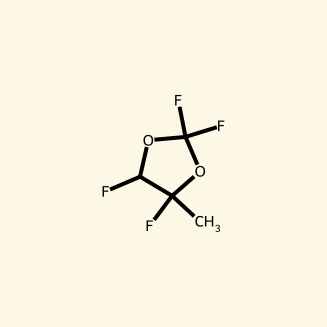 CC1(F)OC(F)(F)OC1F